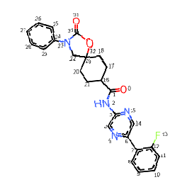 O=C(Nc1cnc(-c2ccccc2F)cn1)C1CCC2(CC1)CN(c1ccccc1)C(=O)O2